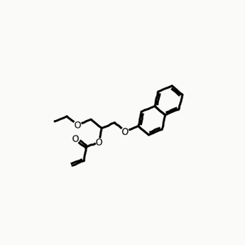 C=CC(=O)OC(COCC)COc1ccc2ccccc2c1